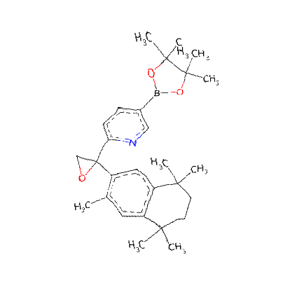 Cc1cc2c(cc1C1(c3ccc(B4OC(C)(C)C(C)(C)O4)cn3)CO1)C(C)(C)CCC2(C)C